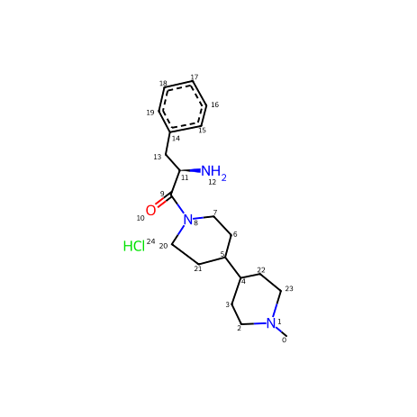 CN1CCC(C2CCN(C(=O)[C@H](N)Cc3ccccc3)CC2)CC1.Cl